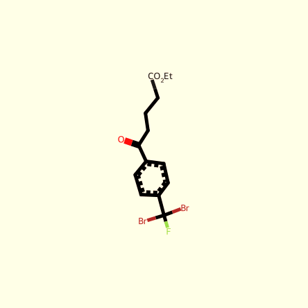 CCOC(=O)CCCC(=O)c1ccc(C(F)(Br)Br)cc1